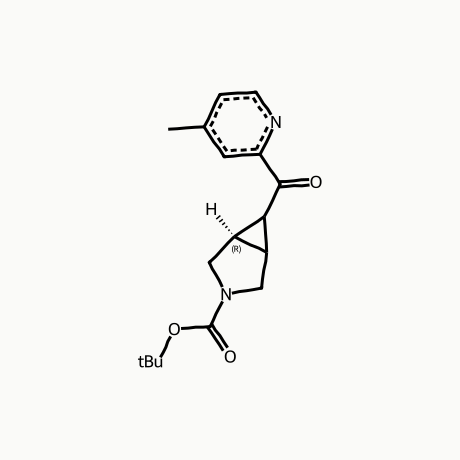 Cc1ccnc(C(=O)C2C3CN(C(=O)OC(C)(C)C)C[C@H]32)c1